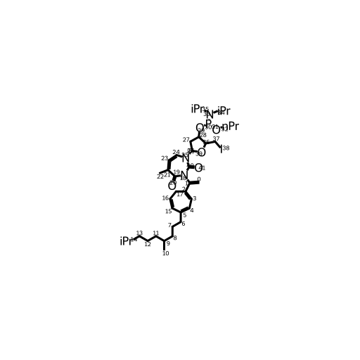 C=C(C1=CC=C(CCCC(C)CCCC(C)C)C=CC1)N1C(=O)C(C)=C=CN([C@H]2CC(OP(OCCC)N(C(C)C)C(C)C)C(CI)O2)C1=O